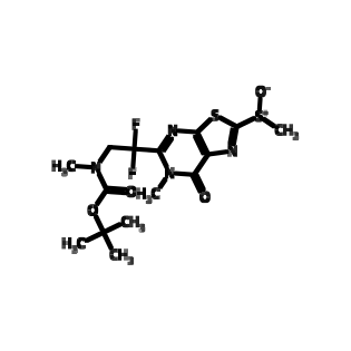 CN(CC(F)(F)c1nc2sc([S+](C)[O-])nc2c(=O)n1C)C(=O)OC(C)(C)C